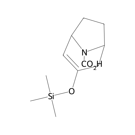 C[Si](C)(C)OC1=CC2CCC(C1)N2C(=O)O